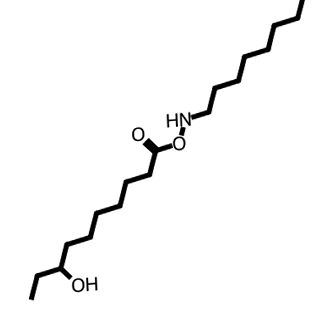 CCCCCCCCNOC(=O)CCCCCCC(O)CC